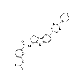 Cc1c(OC(F)F)cccc1C(=O)N[C@@H]1CCn2c1nc1ccc(-c3cnc(N4CCSCC4)nc3)cc12